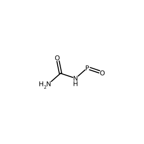 NC(=O)NP=O